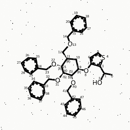 CC(O)c1sccc1O[C@@H]1C[C@H](COCc2ccccc2)[C@@H](OCc2ccccc2)[C@H](OCc2ccccc2)[C@H]1OCc1ccccc1